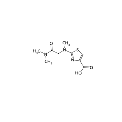 CN(C)C(=O)CN(C)c1nc(C(=O)O)cs1